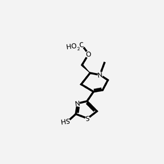 CN1CC=C(c2csc(S)n2)C[C@H]1COC(=O)O